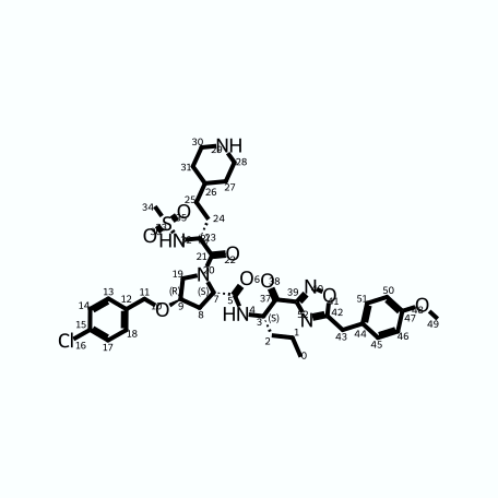 CCC[C@H](NC(=O)[C@@H]1C[C@@H](OCc2ccc(Cl)cc2)CN1C(=O)[C@@H](CCC1CCNCC1)NS(C)(=O)=O)C(=O)c1noc(Cc2ccc(OC)cc2)n1